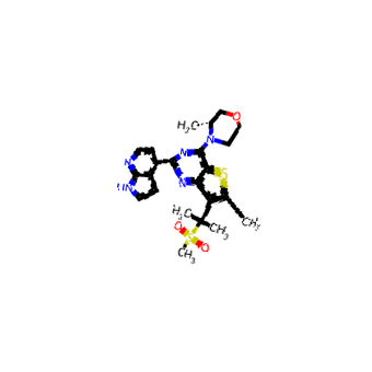 Cc1sc2c(N3CCOC[C@H]3C)nc(-c3ccnc4[nH]ccc34)nc2c1C(C)(C)S(C)(=O)=O